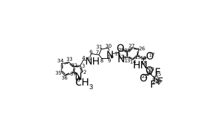 Cn1cc(CNCC2CCN(c3nc4cc(C(=O)NOC(=O)C(F)(F)F)ccc4o3)CC2)c2ccccc21